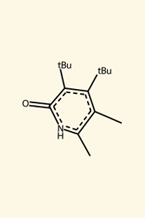 Cc1[nH]c(=O)c(C(C)(C)C)c(C(C)(C)C)c1C